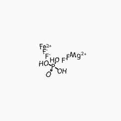 O=P(O)(O)O.[F-].[F-].[F-].[F-].[Fe+2].[Mg+2]